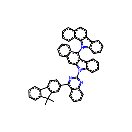 CC1(C)c2ccccc2-c2ccc(-c3nc(-n4c5ccccc5c5c(-n6c7ccccc7c7ccc8ccccc8c76)c6ccccc6cc54)nc4ccccc34)cc21